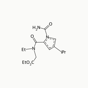 CCOC(=O)CN(CC)C(=O)c1cc(C(C)C)cn1C(N)=O